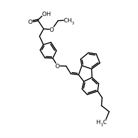 CCCCc1ccc2c(c1)-c1ccccc1C2=CCOc1ccc(CC(OCC)C(=O)O)cc1